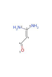 NC(N)=CC=O